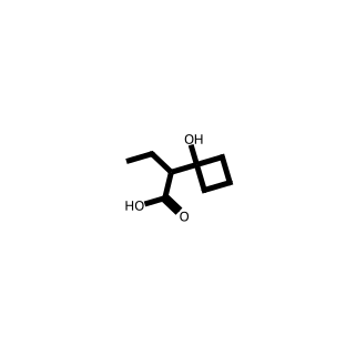 CCC(C(=O)O)C1(O)CCC1